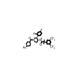 CC(=O)N1CCC(C(=O)N2CC[C@@H](N(C)C(=O)C(C)(C)c3cc(C(F)(F)F)cc(C(F)(F)F)c3)[C@H](c3ccc(F)cc3F)C2)CC1